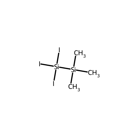 C[Si](C)(C)[Si](I)(I)I